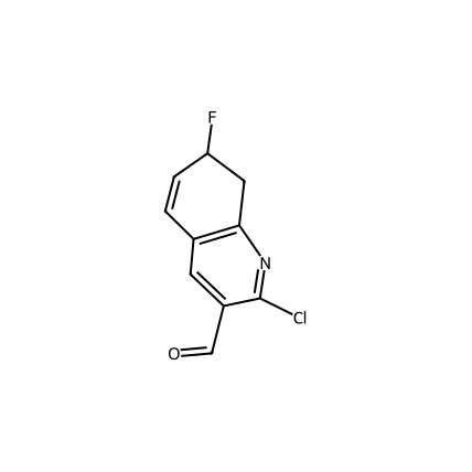 O=Cc1cc2c(nc1Cl)CC(F)C=C2